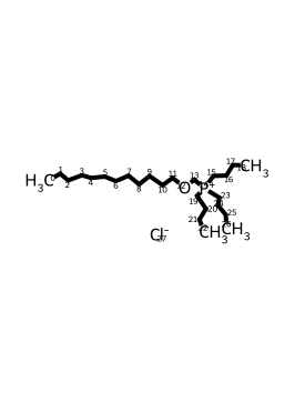 CCCCCCCCCCCCOC[P+](CCCC)(CCCC)CCCC.[Cl-]